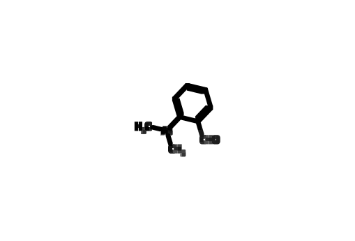 C[As](C)c1ccccc1C=O